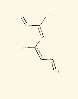 C=C/C=C(\C=C(\C)N=C)C(C)CC